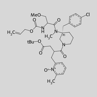 C=CCOC(=O)NC(COC)C(=O)N(C)[C@@]1(Cc2ccc(Cl)cc2)CCCN(C(=O)C(CC(=O)OC(C)(C)C)Cc2cccc(C)[n+]2[O-])C1